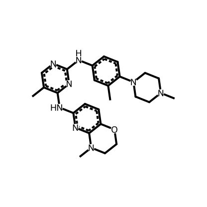 Cc1cc(Nc2ncc(C)c(Nc3ccc4c(n3)N(C)CCO4)n2)ccc1N1CCN(C)CC1